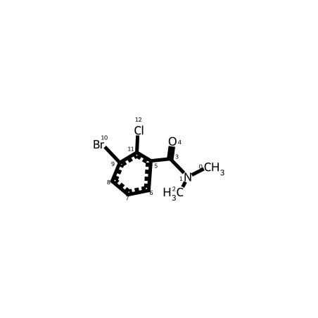 CN(C)C(=O)c1cccc(Br)c1Cl